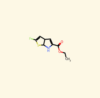 CCOC(=O)C1=CC2C=C(F)SC2N1